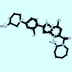 CCc1cc(C(=O)N2CCCCC[C@H]2C)nc2cc(-c3ccc(N4CCCC(C(=O)O)C4)cc3F)nn12